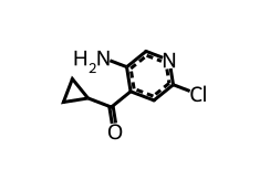 Nc1cnc(Cl)cc1C(=O)C1CC1